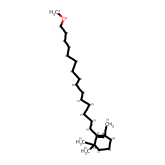 COCCCCCCCCCCCCCCCC1=C(C)CCCC1(C)C